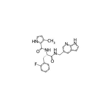 Cc1cc[nH]c1C(=O)N[C@@H](Cc1ccccc1F)C(=O)NCc1cnc2[nH]ccc2c1